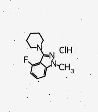 Cl.Cn1nc(N2CCCCC2)c2c(F)cccc21